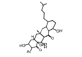 CC(=O)C1C(=O)[C@@]2(O)C(O)C3C(=O)C4C(O)CCC(CCCN(C)C)C4C[C@@]3(C)C[C@H]2CC1O